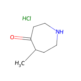 CC1CCNCCC1=O.Cl